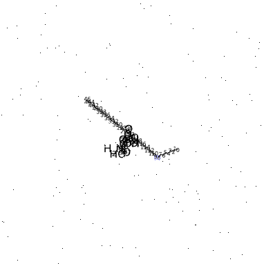 CCCCCCCC/C=C\CCCCCCCCCC(=O)O[C@H](COC(=O)CCCCCCCCCCCCCCCCCCCC)COP(=O)(O)OC[C@H](N)C(=O)O